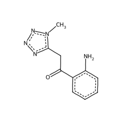 Cn1nnnc1CC(=O)c1ccccc1N